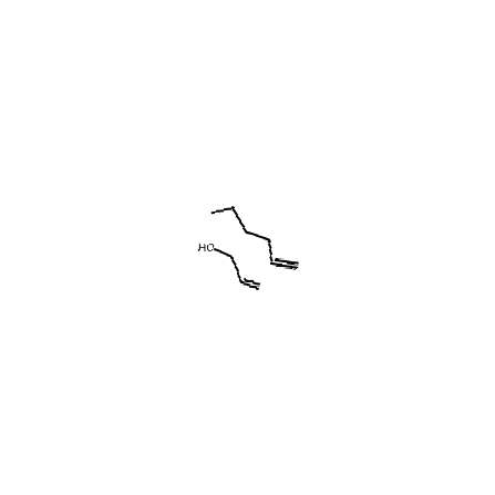 C=CCCCC.C=CCO